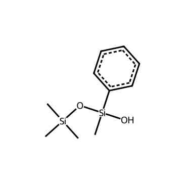 C[Si](C)(C)O[Si](C)(O)c1ccccc1